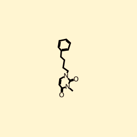 Cn1c(=O)ccn(CCCCc2ccccc2)c1=O